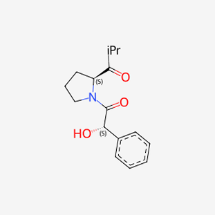 CC(C)C(=O)[C@@H]1CCCN1C(=O)[C@@H](O)c1ccccc1